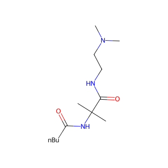 CCCCC(=O)NC(C)(C)C(=O)NCCN(C)C